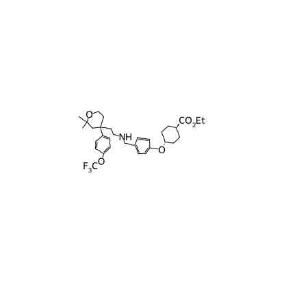 CCOC(=O)[C@H]1CC[C@H](Oc2ccc(CNCCC3(c4ccc(OC(F)(F)F)cc4)CCOC(C)(C)C3)cc2)CC1